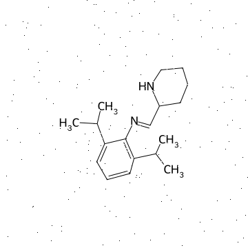 CC(C)c1cccc(C(C)C)c1N=CC1CCCCN1